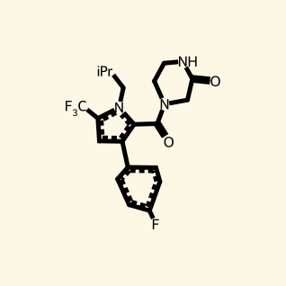 CC(C)Cn1c(C(F)(F)F)cc(-c2ccc(F)cc2)c1C(=O)N1CCNC(=O)C1